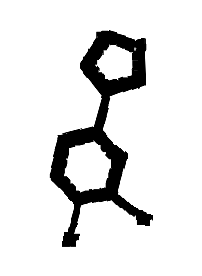 Brc1ccc(-c2c[c]sc2)cc1Br